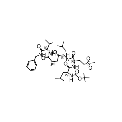 CC(C)C[C@H](NC(=O)OC(C)(C)C)C(=O)N[C@H](CCS(C)(=O)=O)C(=O)N[C@@H](CC(C)C)[C@@H](O)C[C@@H](C)C(=O)N[C@H](C(=O)NCc1ccccc1)C(C)C